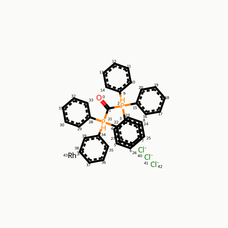 O=C([PH](c1ccccc1)(c1ccccc1)c1ccccc1)[PH](c1ccccc1)(c1ccccc1)c1ccccc1.[Cl-].[Cl-].[Cl-].[Rh+3]